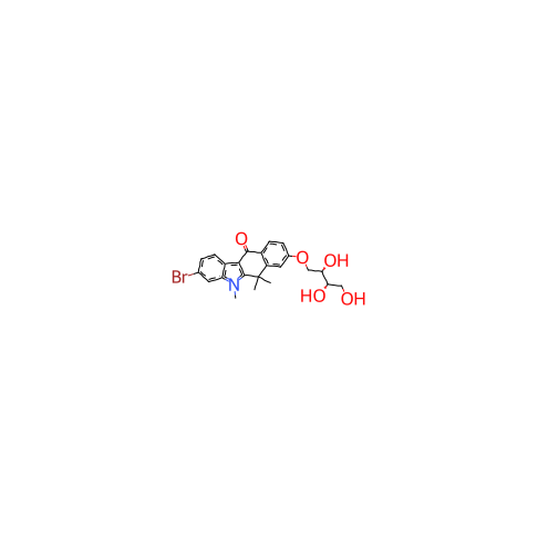 Cn1c2c(c3ccc(Br)cc31)C(=O)c1ccc(OC[C@@H](O)[C@H](O)CO)cc1C2(C)C